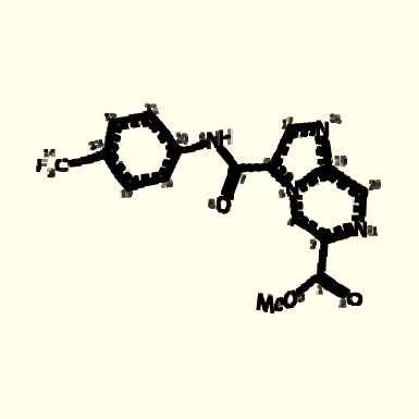 COC(=O)c1cn2c(C(=O)Nc3ccc(C(F)(F)F)cc3)cnc2cn1